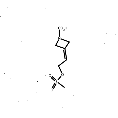 CS(=O)(=O)OCC=C1CN(C(=O)O)C1